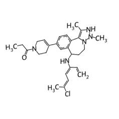 C=C/C(=C\C=C(/C)Cl)NC1CCN2C(=C(C)NN2C)c2ccc(C3=CCN(C(=O)CC)CC3)cc21